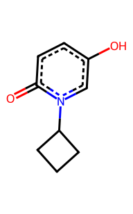 O=c1ccc(O)cn1C1CCC1